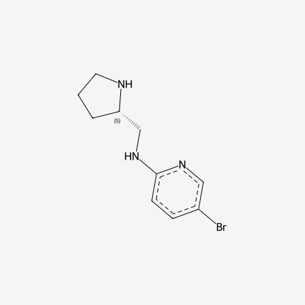 Brc1ccc(NC[C@@H]2CCCN2)nc1